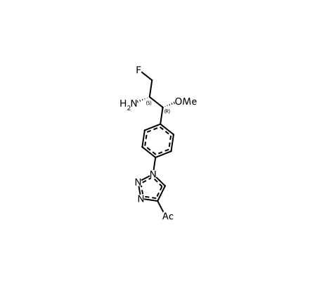 CO[C@H](c1ccc(-n2cc(C(C)=O)nn2)cc1)[C@H](N)CF